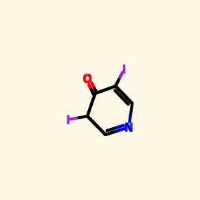 O=C1C(I)=CN=CC1I